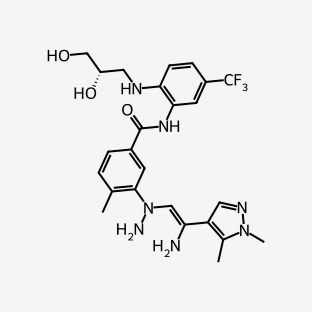 Cc1ccc(C(=O)Nc2cc(C(F)(F)F)ccc2NC[C@H](O)CO)cc1N(N)/C=C(\N)c1cnn(C)c1C